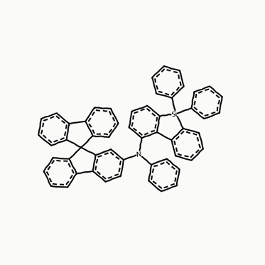 c1ccc(N(c2ccc3c(c2)C2(c4ccccc4-c4ccccc42)c2ccccc2-3)c2cccc3c2-c2ccccc2[Si]3(c2ccccc2)c2ccccc2)cc1